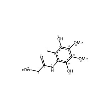 CCCCCCCCCCCC(=O)Nc1c(C)c(O)c(OC)c(OC)c1O